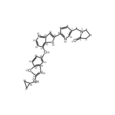 O=C1CCCN1Cc1ccc(-c2cc3nccc(Oc4ccc5oc(NC6CC6)nc5c4)c3s2)nc1